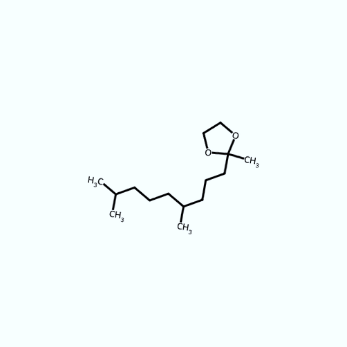 CC(C)CCCC(C)CCCC1(C)OCCO1